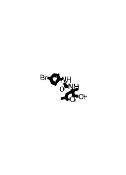 CC(C)CC(C)(NC(=O)Nc1ccc(Br)cc1)C(=O)O